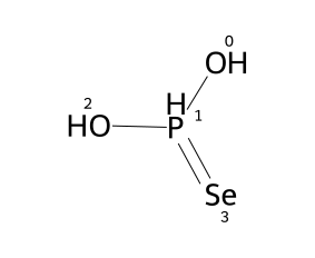 O[PH](O)=[Se]